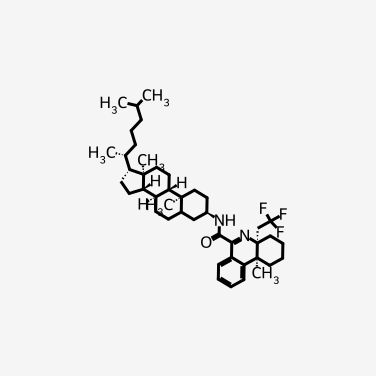 CC(C)CCC[C@@H](C)[C@H]1CC[C@H]2[C@@H]3CCC4C[C@H](NC(=O)C5=N[C@@]6(CC(F)(F)F)CCCC[C@@]6(C)c6ccccc65)CC[C@]4(C)[C@H]3CC[C@]12C